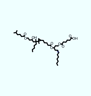 CCCCCC/C=C\CC(CCOC(=O)CCCCC(=O)O)OC(=O)CCCCC1CC1(C)C(C)(CCCCC)CC(O)CCOC(=O)CCCC(C)C